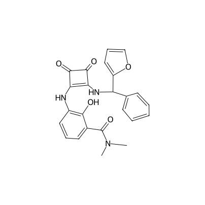 CN(C)C(=O)c1cccc(Nc2c(NC(c3ccccc3)c3ccco3)c(=O)c2=O)c1O